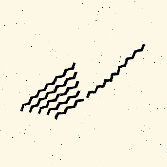 CCCCCCC.CCCCCCCC.CCCCCCCCCC.CCCCCCCCCCCC.CCCCCCCCCCCCCC.CCCCCCCCCCCCCCCC